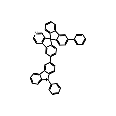 c1ccc(-c2ccc3c(c2)-c2ccccc2C32c3ccc(-c4ccc5c(c4)c4ccccc4n5-c4ccccc4)cc3-c3ccncc32)cc1